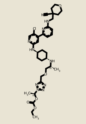 CCOC(=O)O[C@@H](C)n1nnc(COC[C@@H](C)N[C@H]2CC[C@H](Nc3cc(-c4cccc(NCC5(C#N)CCOCC5)n4)c(Cl)cn3)CC2)n1